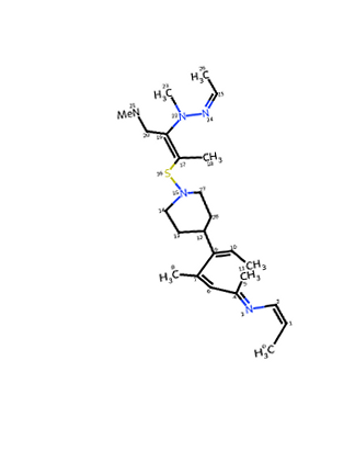 C\C=C/N=C(C)/C=C(C)\C(=C/C)C1CCN(S/C(C)=C(\CNC)N(C)/N=C\C)CC1